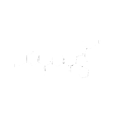 CC(C)(C)OC(=O)N1C[C@H](NC(=O)CNC(=O)c2cccc(C(F)(F)F)c2)C2(CCCO2)C1